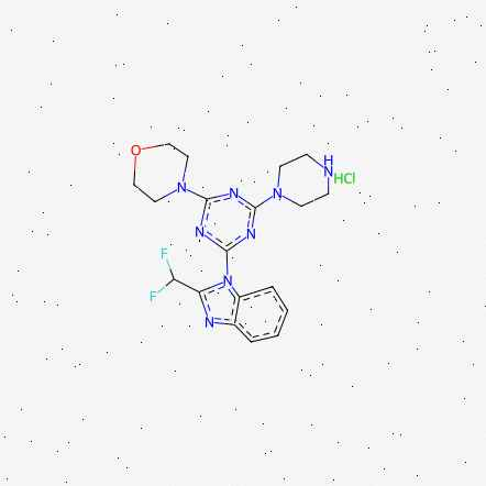 Cl.FC(F)c1nc2ccccc2n1-c1nc(N2CCNCC2)nc(N2CCOCC2)n1